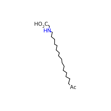 CC(=O)CCCCCCCCCCCCCCCCNCC(=O)O